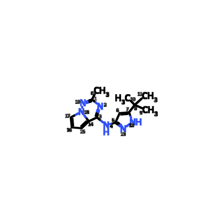 Cc1nc(Nc2cc(C(C)(C)C)[nH]n2)c2cccn2n1